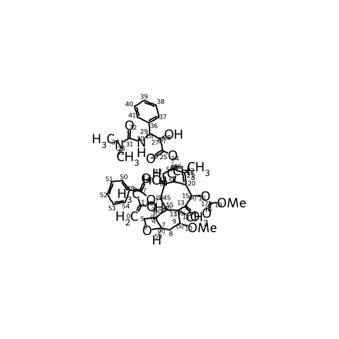 C=C(C)O[C@@]12CO[C@@H]1C[C@H](OC)[C@@]1(C)C(=O)[C@H](OC(=O)OC)C3=C(C)[C@@H](OC(=O)[C@H](O)[C@@H](NC(=O)N(C)C)c4ccccc4)C[C@@](O)([C@@H](OC(=O)c4ccccc4)[C@H]21)C3(C)C